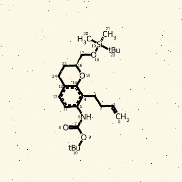 C=CCCc1c(NC(=O)OC(C)(C)C)ccc2c1O[C@H](CO[Si](C)(C)C(C)(C)C)CC2